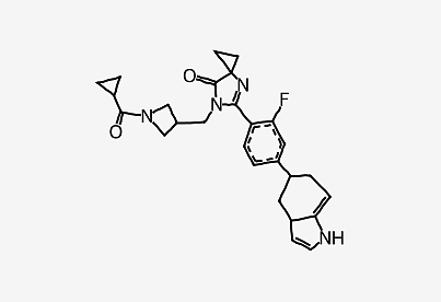 O=C(C1CC1)N1CC(CN2C(=O)C3(CC3)N=C2c2ccc(C3CC=C4NC=CC4C3)cc2F)C1